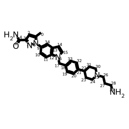 Cc1cc(C(N)=O)nn1-c1ccc2c(ccn2Cc2ccc(C3CCN(CCCN)CC3)cc2)c1